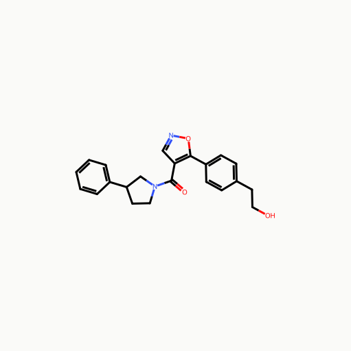 O=C(c1cnoc1-c1ccc(CCO)cc1)N1CCC(c2ccccc2)C1